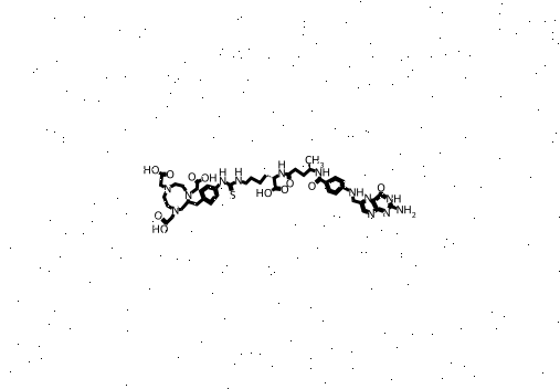 C[C@H](CCC(=O)N[C@@H](CCCCNC(=S)Nc1ccc(CC2CN(CC(=O)O)CCN(CC(=O)O)CCN2CC(=O)O)cc1)C(=O)O)NC(=O)c1ccc(NCc2cnc3nc(N)[nH]c(=O)c3n2)cc1